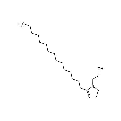 CCCCCCCCCCCCCCCC1=NCCN1CCO